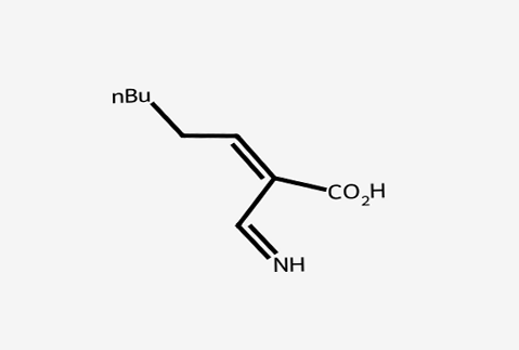 CCCCC/C=C(\C=N)C(=O)O